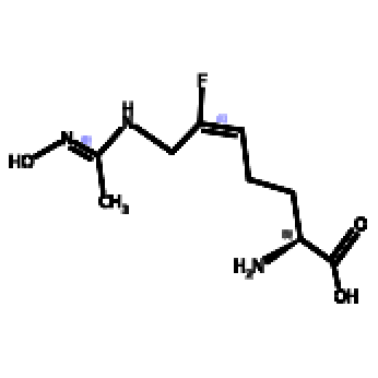 C/C(=N\O)NC/C(F)=C\CC[C@H](N)C(=O)O